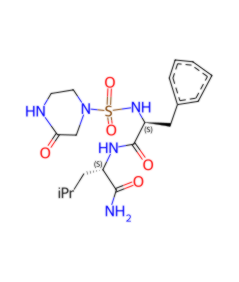 CC(C)C[C@H](NC(=O)[C@H](Cc1ccccc1)NS(=O)(=O)N1CCNC(=O)C1)C(N)=O